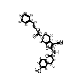 COc1cccc([C@@H](C)CC(=O)Nc2sc3c(c2C#N)CCN(C(=O)OCCc2ccncc2)C3)c1